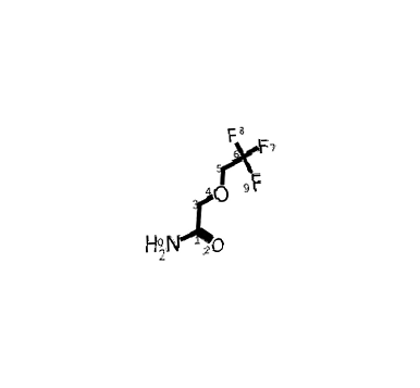 NC(=O)COCC(F)(F)F